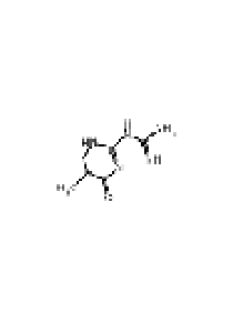 CC1CNC(NC(=N)N)=NC1=O